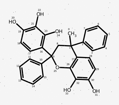 CC1(c2ccccc2)CC(c2ccccc2)(c2ccc(O)c(O)c2O)Oc2c1ccc(O)c2O